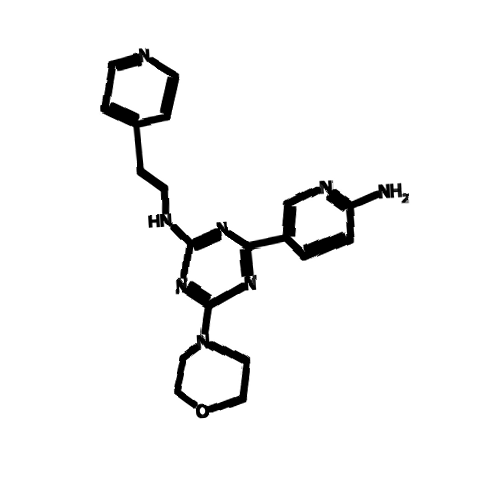 Nc1ccc(-c2nc(NCCc3ccncc3)nc(N3CCOCC3)n2)cn1